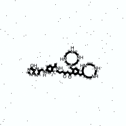 C=C(NC(CCC(=O)CC(=O)c1cc(CC2CCCNCCNCCCNCC2)ccc1CN1CCCNCCNCCCNCC1)C(=O)O)c1ccc(NCc2cnc3ncnc(O)c3n2)cc1